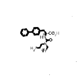 CC(C)CN(CCP)C(=O)N[C@@H](Cc1ccc(-c2ccccc2)cc1)C(=O)O